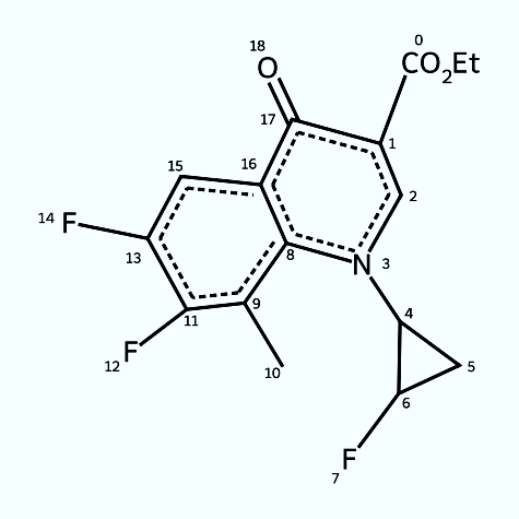 CCOC(=O)c1cn(C2CC2F)c2c(C)c(F)c(F)cc2c1=O